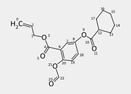 C=CCOC(=O)c1cc(OC(=O)C2CCCCC2)ccc1OC=O